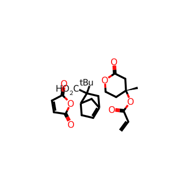 C=CC(=O)O[C@]1(C)CCOC(=O)C1.CC(C)(C)C1(C(=O)O)CC2=CCC1C2.O=C1C=CC(=O)O1